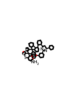 Nc1cccc(-c2cccc(-c3nc(-c4ccccc4)cc(-c4ccccc4-c4cccc5c4-c4ccccc4C54c5ccccc5C5(c6ccccc6Sc6ccccc65)c5ccccc54)n3)c2)c1